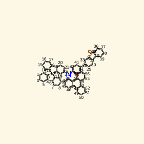 c1ccc2c(c1)-c1ccccc1C21c2ccccc2-c2ccc(N(c3ccc(-c4ccc5c(c4)sc4ccccc45)cc3)c3cccc4c5ccccc5c5ccccc5c34)cc21